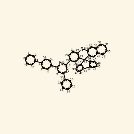 c1ccc(-c2ccc(-c3cc(-c4ccccc4)nc(-c4ccc5c(c4)C4(c6cc7ccccc7cc6S5)c5ccccc5-c5ccccc54)n3)cc2)cc1